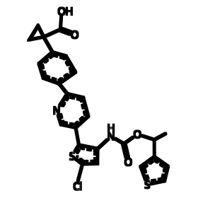 CC(OC(=O)Nc1cc(Cl)sc1-c1ccc(-c2ccc(C3(C(=O)O)CC3)cc2)nc1)c1ccsc1